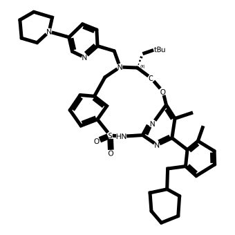 Cc1cccc(CC2CCCCC2)c1-c1nc2nc(c1C)OC[C@@H](CC(C)(C)C)N(Cc1ccc(N3CCCCC3)cn1)Cc1cccc(c1)S(=O)(=O)N2